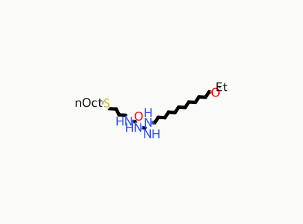 CCCCCCCCSCCCCNC(=O)NC(=N)NCCCCCCCCCCCCOCC